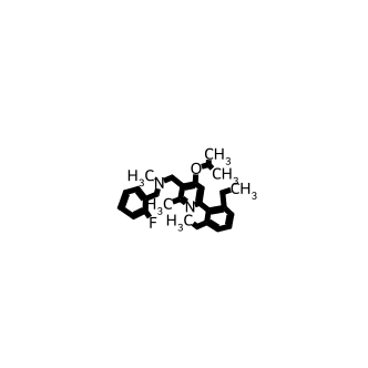 CCc1cccc(CC)c1-c1cc(OC(C)C)c(CN(C)Cc2ccccc2F)c(C)n1